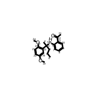 CCCC(C)(Pc1ccccc1C(C)=O)c1cc(OC)ccc1OC